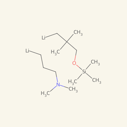 [Li][CH2]C(C)(C)CO[Si](C)(C)C.[Li][CH2]CCN(C)C